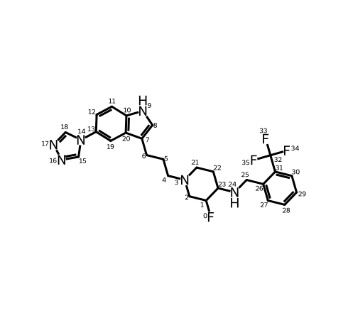 FC1CN(CCCc2c[nH]c3ccc(-n4cnnc4)cc23)CCC1NCc1ccccc1C(F)(F)F